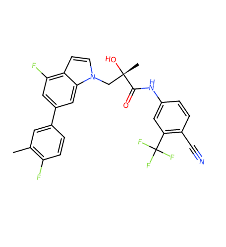 Cc1cc(-c2cc(F)c3ccn(C[C@](C)(O)C(=O)Nc4ccc(C#N)c(C(F)(F)F)c4)c3c2)ccc1F